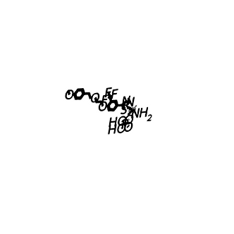 COc1ccc(CCOCCOc2ccc(-c3nnc([C@@](C)(N)COP(=O)(O)O)s3)cc2C(F)(F)F)cc1